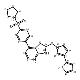 O=S(=O)(c1ccc(-c2ccnc3c2CC(Cn2ccc(-c4cccs4)n2)N3)cc1)N1CCCC1